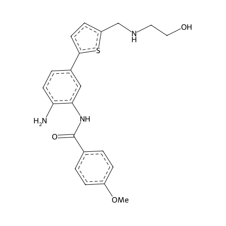 COc1ccc(C(=O)Nc2cc(-c3ccc(CNCCO)s3)ccc2N)cc1